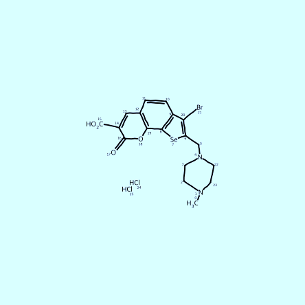 CN1CCN(Cc2[se]c3c(ccc4cc(C(=O)O)c(=O)oc43)c2Br)CC1.Cl.Cl